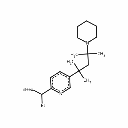 CCCCCCC(CC)c1ccc(C(C)(C)CC(C)(C)N2CCCCC2)cn1